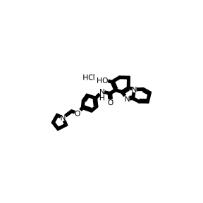 Cl.O=C(Nc1ccc(OCN2CCCC2)cc1)C1=C(O)CCc2c1nc1ccccn21